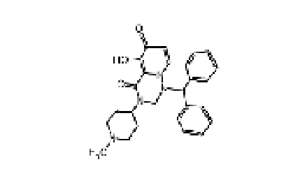 CN1CCC(N2CN(C(c3ccccc3)c3ccccc3)n3ccc(=O)c(O)c3C2=O)CC1